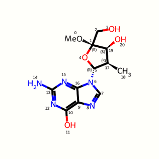 CO[C@]1(CO)O[C@@H](n2cnc3c(O)nc(N)nc32)[C@H](C)[C@@H]1O